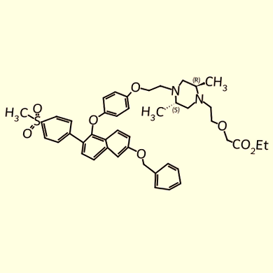 CCOC(=O)COCCN1C[C@H](C)N(CCOc2ccc(Oc3c(-c4ccc(S(C)(=O)=O)cc4)ccc4cc(OCc5ccccc5)ccc34)cc2)C[C@H]1C